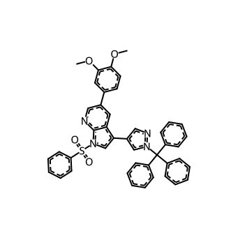 COc1ccc(-c2cnc3c(c2)c(-c2cnn(C(c4ccccc4)(c4ccccc4)c4ccccc4)c2)cn3S(=O)(=O)c2ccccc2)cc1OC